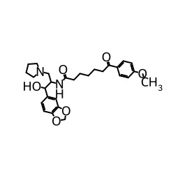 COc1ccc(C(=O)CCCCCC(=O)NC(CN2CCCC2)C(O)c2ccc3c(c2)OCO3)cc1